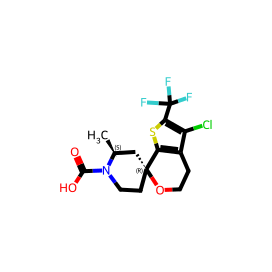 C[C@H]1C[C@@]2(CCN1C(=O)O)OCCc1c2sc(C(F)(F)F)c1Cl